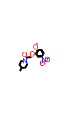 COc1ccc([N+](=O)[O-])cc1OCC(=O)N1CCC(C)CC1